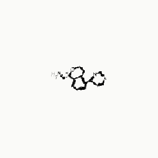 NC[C@@H]1OCCc2c(-c3ccncn3)cccc21